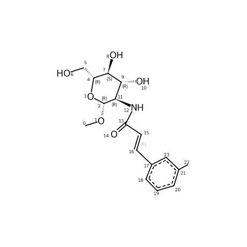 CO[C@@H]1O[C@H](CO)[C@@H](O)[C@H](O)[C@H]1NC(=O)/C=C/c1cccc(C)c1